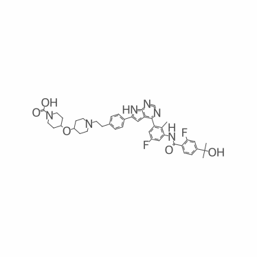 Cc1c(NC(=O)c2ccc(C(C)(C)O)cc2F)cc(F)cc1-c1ncnc2[nH]c(-c3ccc(CCN4CCC(OC5CCN(C(=O)O)CC5)CC4)cc3)cc12